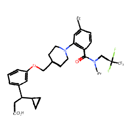 CCc1ccc(C(=O)N(CC(F)(F)C(F)(F)F)C(C)C)c(N2CCC(COc3cccc(C(CC(=O)O)C4CC4)c3)CC2)c1